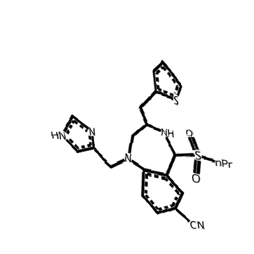 CCCS(=O)(=O)C1NC(Cc2cccs2)CN(Cc2c[nH]cn2)c2ccc(C#N)cc21